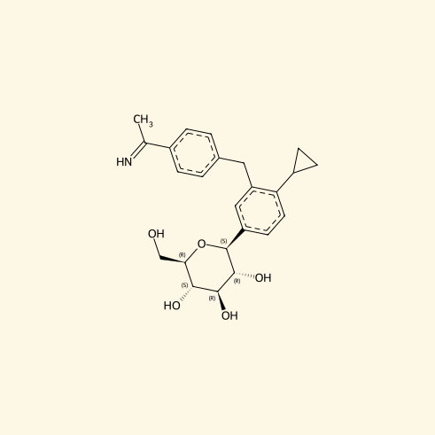 CC(=N)c1ccc(Cc2cc([C@@H]3O[C@H](CO)[C@@H](O)[C@H](O)[C@H]3O)ccc2C2CC2)cc1